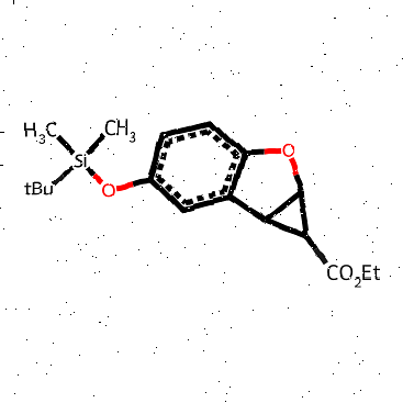 CCOC(=O)C1C2Oc3ccc(O[Si](C)(C)C(C)(C)C)cc3C21